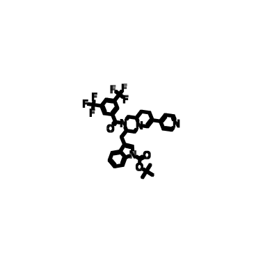 CC(C)(C)OC(=O)n1cc(CC2CN3C=C(c4ccncc4)CCC3CN2C(=O)c2cc(C(F)(F)F)cc(C(F)(F)F)c2)c2ccccc21